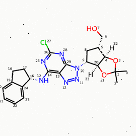 CC1(C)O[C@@H]2[C@@H](CO)C[C@@H](n3nnc4c(N[C@H]5CCc6ccccc65)nc(Cl)nc43)[C@@H]2O1